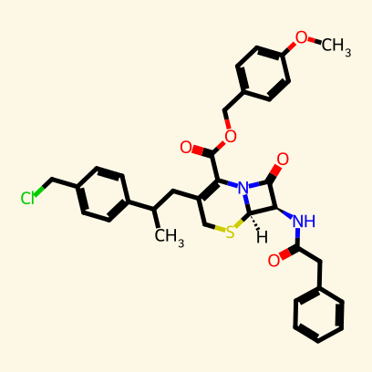 COc1ccc(COC(=O)C2=C(CC(C)c3ccc(CCl)cc3)CS[C@@H]3[C@H](NC(=O)Cc4ccccc4)C(=O)N23)cc1